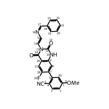 COc1ccc(C#N)c(-c2cc3[nH]c(=O)n(/C=C/N=C\c4ccccc4)c(=O)c3cc2F)c1